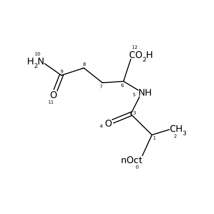 CCCCCCCCC(C)C(=O)NC(CCC(N)=O)C(=O)O